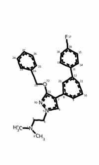 CN(C)CCn1cc(-c2cccc(-c3ccc(F)cc3)c2)c(OCc2ccccc2)n1